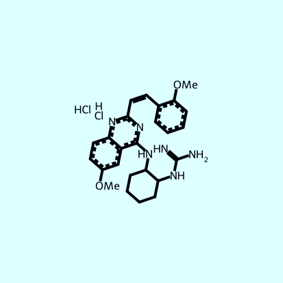 COc1ccc2nc(/C=C\c3ccccc3OC)nc(NC3CCCCC3NC(=N)N)c2c1.Cl.Cl